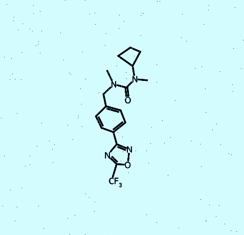 CN(Cc1ccc(-c2noc(C(F)(F)F)n2)cc1)C(=O)N(C)C1CCC1